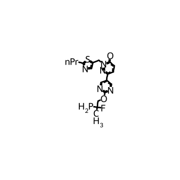 CCCc1ncc(Cn2nc(-c3cnc(OCC(C)(F)P)nc3)ccc2=O)s1